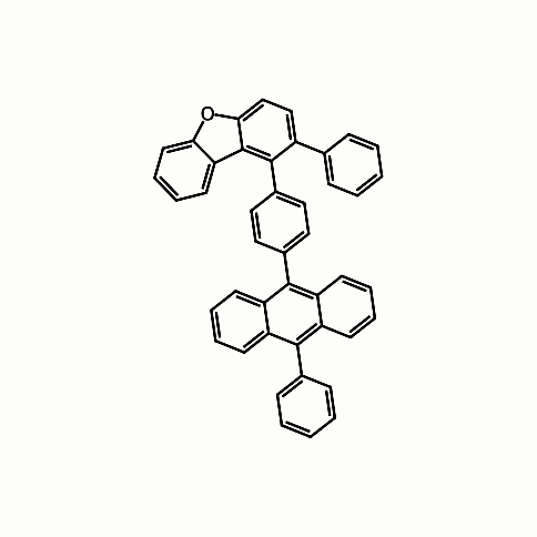 c1ccc(-c2ccc3oc4ccccc4c3c2-c2ccc(-c3c4ccccc4c(-c4ccccc4)c4ccccc34)cc2)cc1